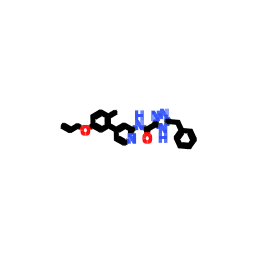 C=CCOc1ccc(C)c(-c2ccnc(NC(=O)c3nnc(Cc4ccccc4)[nH]3)c2)c1